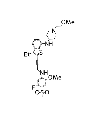 CCc1c(C#CCNc2cc(F)c(S(C)(=O)=O)cc2OC)sc2c(NC3CCN(CCOC)CC3)cccc12